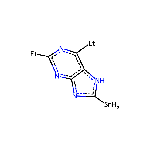 CCc1nc(CC)c2[nH][c]([SnH3])nc2n1